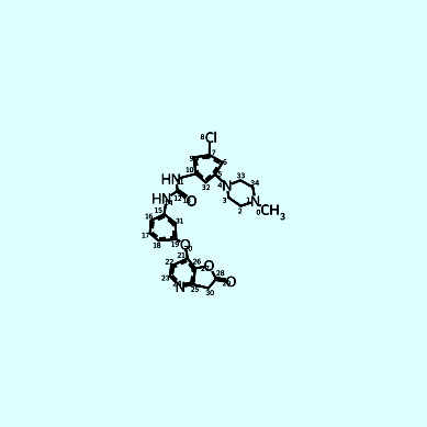 CN1CCN(c2cc(Cl)cc(NC(=O)Nc3cccc(Oc4ccnc5c4OC(=O)C5)c3)c2)CC1